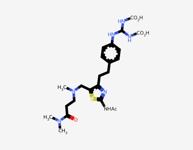 CC(=O)Nc1nc(CCc2ccc(NC(NC(=O)O)NC(=O)O)cc2)c(CN(C)CCC(=O)N(C)C)s1